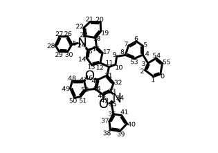 c1ccc(-c2cccc(CCC(c3ccc4c(c3)c3ccccc3n4-c3ccccc3)c3cc4nc(-c5ccccc5)oc4c4c3oc3ccccc34)c2)cc1